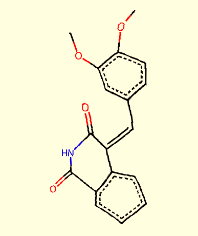 COc1ccc(C=C2C(=O)NC(=O)c3ccccc32)cc1OC